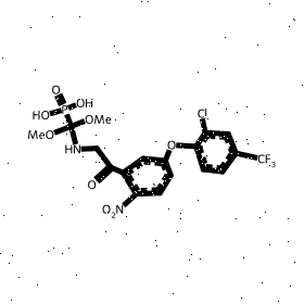 COC(NCC(=O)c1cc(Oc2ccc(C(F)(F)F)cc2Cl)ccc1[N+](=O)[O-])(OC)P(=O)(O)O